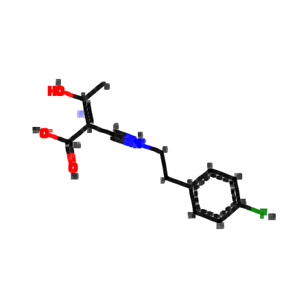 C/C(O)=C(\C#[N+]CCc1ccc(F)cc1)C(=O)[O-]